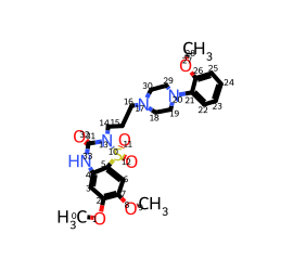 COc1cc2c(cc1OC)S(=O)(=O)N(CCCN1CCN(c3ccccc3OC)CC1)C(=O)N2